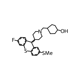 CSc1ccc2c(c1)C(=C1CCN(CC3CCC(O)CC3)CC1)c1ccc(F)cc1S2